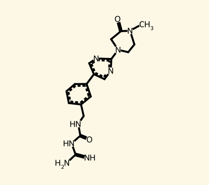 CN1CCN(c2ncc(-c3cccc(CNC(=O)NC(=N)N)c3)cn2)CC1=O